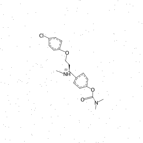 CN[C@@H](CCOc1ccc(Cl)cc1)c1ccc(OC(=O)N(C)C)cc1